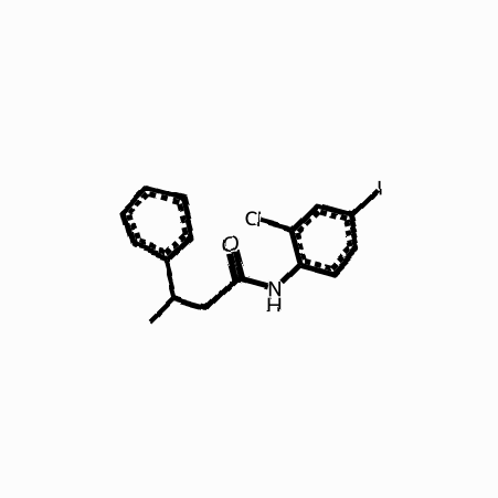 CC(CC(=O)Nc1ccc(I)cc1Cl)c1ccccc1